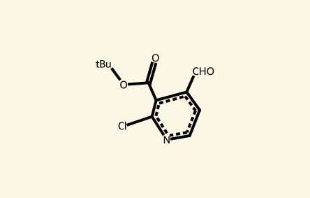 CC(C)(C)OC(=O)c1c(C=O)ccnc1Cl